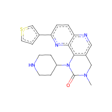 CN1Cc2cnc3ccc(-c4ccsc4)nc3c2N(C2CCNCC2)C1=O